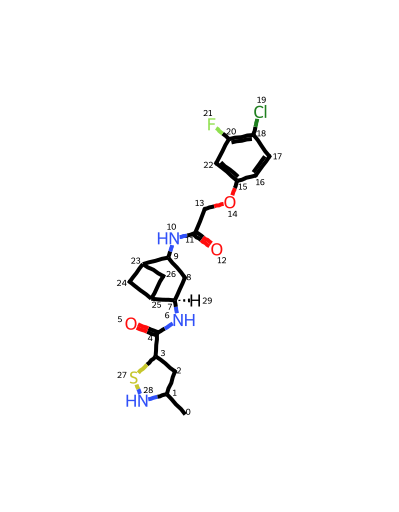 CC1CC(C(=O)N[C@@H]2CC(NC(=O)COc3ccc(Cl)c(F)c3)C3CC2C3)SN1